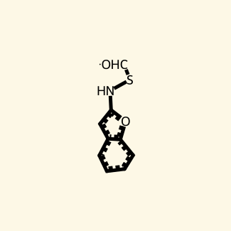 O=[C]SNc1cc2ccccc2o1